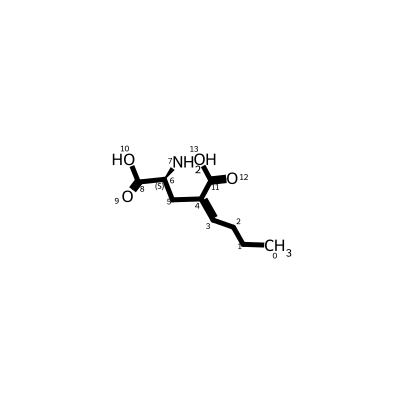 CCCC=C(C[C@H](N)C(=O)O)C(=O)O